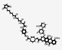 COc1cccc2c1C(=O)c1c(O)c3c(c(O)c1C2=O)CC(C(=O)CN1CCCN(C(=O)OCc2ccc(NC(=O)C(C)NC(=O)CCNC(=O)CCCCCN4C(=O)C=CC4=O)cc2)CC1)C[C@@H]3OC1C[C@H](N2CCOCC2O)C[C@H](C)O1